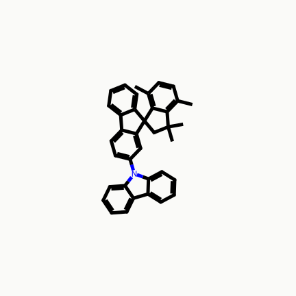 Cc1ccc(C)c2c1C(C)(C)CC21c2ccccc2-c2ccc(-n3c4ccccc4c4ccccc43)cc21